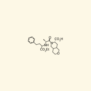 CCOC(=O)C(CCc1ccccc1)N[C@@H](C)C(=O)N1CC2CCOCC2C[C@H]1C(=O)O